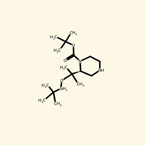 CC(C)(C)OC(=O)N1CCNC[C@H]1C(C)(C)O[SiH2]C(C)(C)C